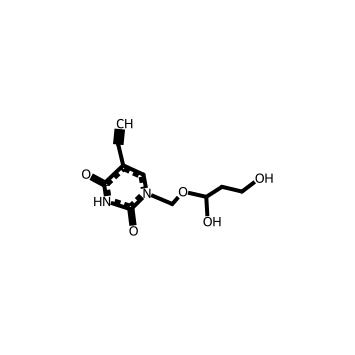 C#Cc1cn(COC(O)CCO)c(=O)[nH]c1=O